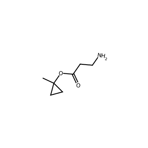 CC1(OC(=O)CCN)CC1